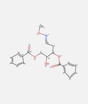 CON=CCC(OC(=O)c1ccccc1)C(O)COC(=O)c1ccccc1